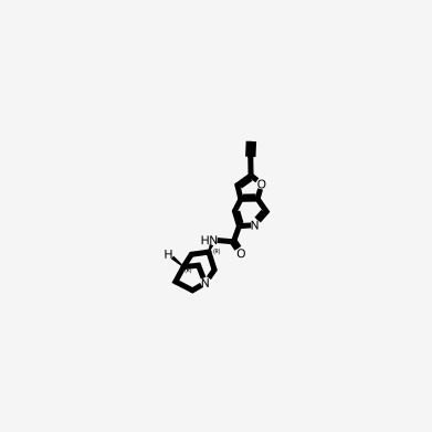 C#Cc1cc2cc(C(=O)N[C@@H]3C[C@H]4CCN(C4)C3)ncc2o1